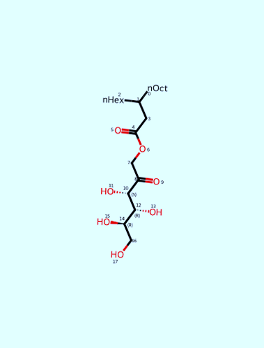 CCCCCCCCC(CCCCCC)CC(=O)OCC(=O)[C@@H](O)[C@H](O)[C@H](O)CO